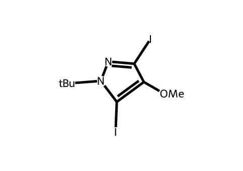 COc1c(I)nn(C(C)(C)C)c1I